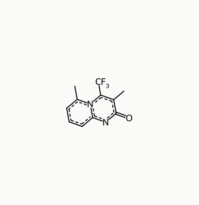 Cc1c(C(F)(F)F)n2c(C)cccc2nc1=O